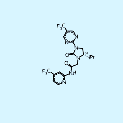 CC(C)[C@H]1CN(c2ncc(C(F)(F)F)cn2)C(=O)N1CC(=O)Nc1cc(C(F)(F)F)ccn1